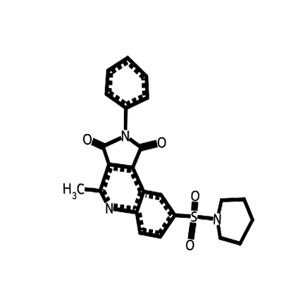 Cc1nc2ccc(S(=O)(=O)N3CCCCC3)cc2c2c1C(=O)N(c1ccccc1)C2=O